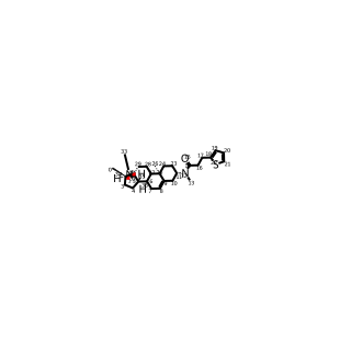 C[C@H]1[C@H]2CC[C@H]3[C@@H]4CC=C5C[C@@H](N(C)C(=O)CCc6cccs6)CC[C@]5(C)C4CC[C@]23CN1C